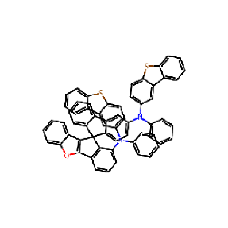 c1ccc(N(c2ccc3c(c2)-c2ccccc2C32c3c(cccc3N(c3ccccc3)c3ccc4sc5ccccc5c4c3)-c3oc4ccccc4c32)c2ccc3sc4ccccc4c3c2)cc1